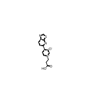 O=C(O)CC[n+]1ccc(-c2ccc3ncsc3n2)cc1.[Cl-]